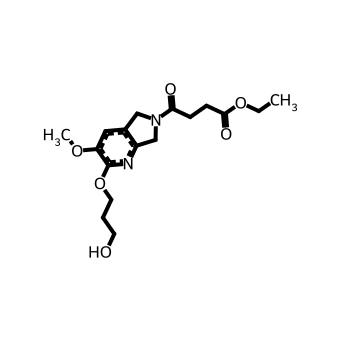 CCOC(=O)CCC(=O)N1Cc2cc(OC)c(OCCCO)nc2C1